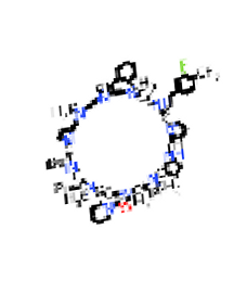 CC[C@H](C)[C@H]1CN2CCC2=CN(C)C=CN(C)C(CC2CCCCC2)=CN(C)CCN[C@@H](CCc2ccc(C(F)(F)F)c(F)c2)CN2CCC[C@H]2CNC2(CCCC2)CN(C)[C@@H](C(C)C)CN(C)[C@H](C(=O)N2CCCCC2)CCN(C)[C@@H](CC(C)C)CN1